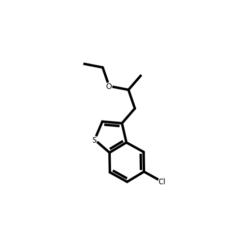 CCOC(C)Cc1csc2ccc(Cl)cc12